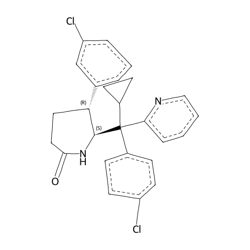 O=C1CC[C@H](c2cccc(Cl)c2)[C@@H](C(c2ccc(Cl)cc2)(c2ccccn2)C2CC2)N1